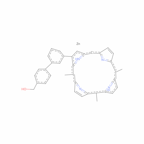 Cc1c2nc(cc3cc(-c4cccc(-c5ccc(CO)cc5)c4)c([nH]3)c(C)c3nc(c(C)c4ccc1[nH]4)C=C3)C=C2.[Zn]